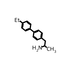 CCc1ccc(-c2ccc(CC(C)N)cc2)cc1